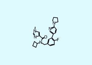 Cn1cnc(C(=O)N(Cc2ccc(F)c(-c3ccc(N4CCCC4)nc3)c2)C2CCC2)c1